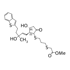 COC(=O)CSCCCSC1C(=O)C[C@@H](O)[C@@H]1C=CC(C)(O)CCc1cc2ccccc2s1